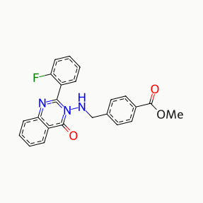 COC(=O)c1ccc(CNn2c(-c3ccccc3F)nc3ccccc3c2=O)cc1